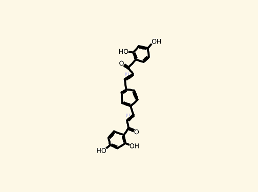 O=C(/C=C/c1ccc(/C=C/C(=O)c2ccc(O)cc2O)cc1)c1ccc(O)cc1O